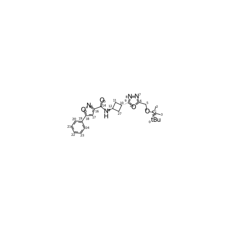 CC(C)(C)[Si](C)(C)OCc1nnc([C@H]2C[C@H](NC(=O)c3cc(-c4ccccc4)on3)C2)o1